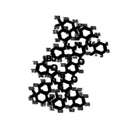 Cc1ccccc1N(c1cc2c3c(n1)N(c1ccc4c(c1)C(C)(C)CCC4(C)C)c1ccccc1B3c1cc3c(cc1O2)Oc1cc(N(c2ccccc2C)c2c(C)cccc2C)nc2c1B3c1oc3c(C(C)(C)C)cccc3c1N2c1ccc2c(c1)C(C)(C)CCC2(C)C)c1c(C)cccc1C